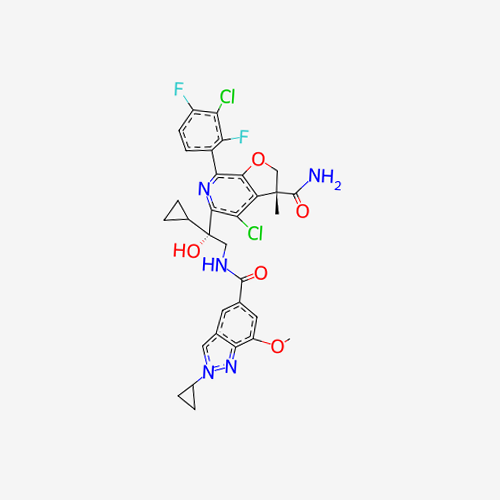 COc1cc(C(=O)NC[C@](O)(c2nc(-c3ccc(F)c(Cl)c3F)c3c(c2Cl)[C@@](C)(C(N)=O)CO3)C2CC2)cc2cn(C3CC3)nc12